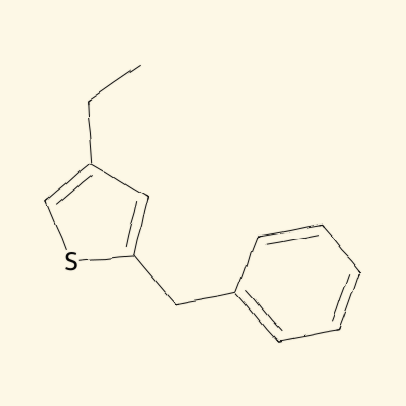 CCc1csc(Cc2ccccc2)c1